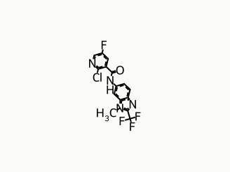 Cn1c(C(F)(F)F)nc2ccc(NC(=O)c3cc(F)cnc3Cl)cc21